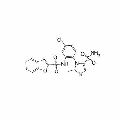 CC1N(C)C=C(S(N)(=O)=O)N1c1ccc(Cl)cc1NS(=O)(=O)c1cc2ccccc2o1